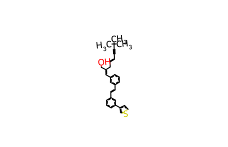 CC(C)(C)C#C/C=C/C/C(=C\c1cccc(/C=C/c2cccc(-c3ccsc3)c2)c1)CO